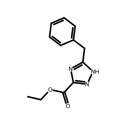 CCOC(=O)c1n[nH]c(Cc2ccccc2)n1